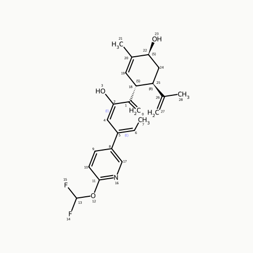 C=C(/C(O)=C\C(=C/C)c1ccc(OC(F)F)nc1)[C@@H]1C=C(C)[C@@H](O)C[C@H]1C(=C)C